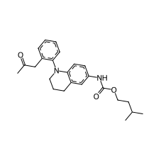 CC(=O)Cc1ccccc1N1CCCc2cc(NC(=O)OCCC(C)C)ccc21